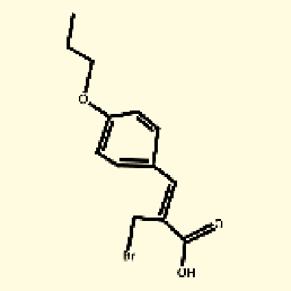 CCCOc1ccc(C=C(CBr)C(=O)O)cc1